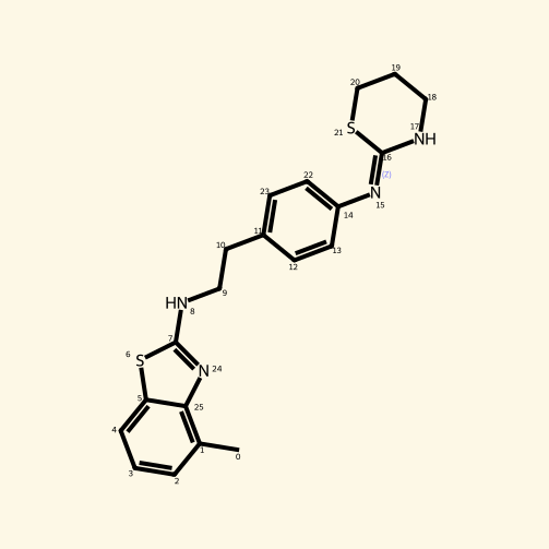 Cc1cccc2sc(NCCc3ccc(/N=C4/NCCCS4)cc3)nc12